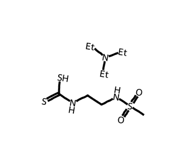 CCN(CC)CC.CS(=O)(=O)NCCNC(=S)S